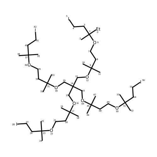 CCC(C)(CCI)OCCC(C)(C)OCC(COC(C)(C)CCOC(C)(C)CCI)(COC(C)(C)CCOC(C)(C)CCI)COC(C)(C)CCOC(C)(C)CCI